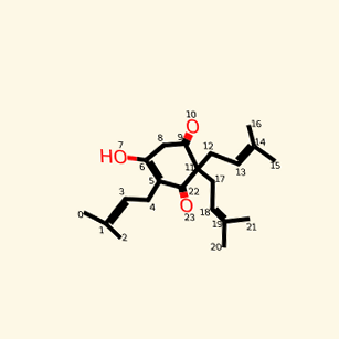 CC(C)=CCC1=C(O)CC(=O)C(CC=C(C)C)(CC=C(C)C)C1=O